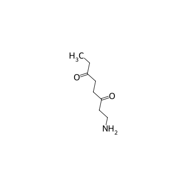 CCC(=O)CCC(=O)CCN